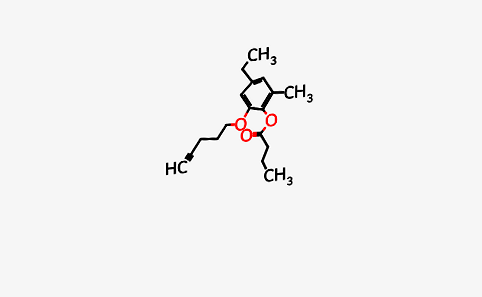 C#CCCCOc1cc(CC)cc(C)c1OC(=O)CCC